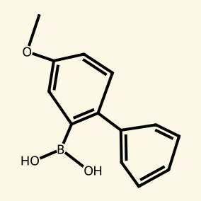 COc1ccc(-c2ccccc2)c(B(O)O)c1